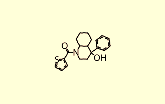 O=C(c1cccs1)N1CCC(O)(c2ccccc2)C2CCCCC21